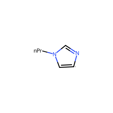 CCCn1c[c]nc1